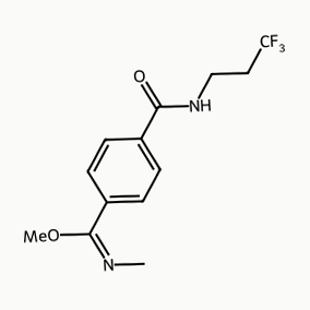 C/N=C(/OC)c1ccc(C(=O)NCCC(F)(F)F)cc1